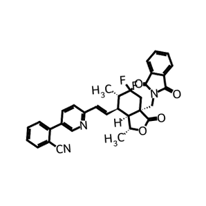 C[C@H]1OC(=O)[C@]2(CN3C(=O)c4ccccc4C3=O)CC(F)(F)[C@@H](C)[C@H](/C=C/c3ccc(-c4ccccc4C#N)cn3)[C@H]12